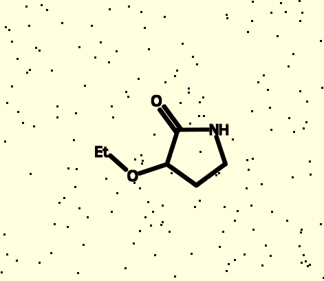 CCOC1CCNC1=O